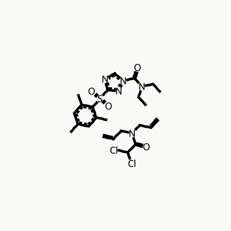 C=CCN(CC=C)C(=O)C(Cl)Cl.CCN(CC)C(=O)n1cnc(S(=O)(=O)c2c(C)cc(C)cc2C)n1